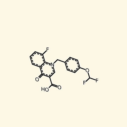 O=C(O)c1cn(Cc2ccc(OC(F)F)cc2)c2c(F)cccc2c1=O